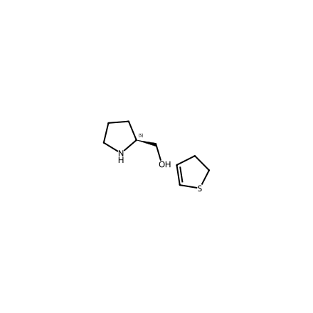 C1=CSCC1.OC[C@@H]1CCCN1